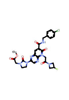 CC(C)(C)OC(=O)CN1CCN(c2cnc3c(cc(C(=O)NCc4ccc(Cl)cc4)c(=O)n3CC(=O)N3CC(F)C3)n2)C1=O